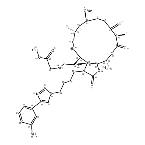 CO[C@H]1CCC(=O)[C@@H](C)C(=O)O[C@H](C)[C@H]2OC(=O)N(CCCCn3cc(-c4cccc(N)c4)nn3)[C@@H]2[C@@H](CCNCC(=O)OC(C)(C)C)NC[C@H](C)C1